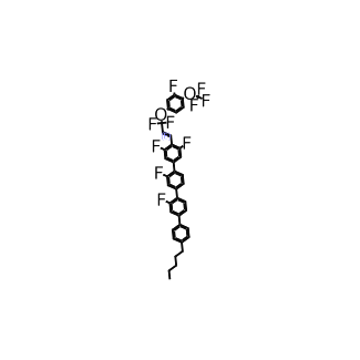 CCCCCc1ccc(-c2ccc(-c3ccc(-c4cc(F)c(/C=C/C(F)(F)Oc5ccc(OC(F)(F)F)c(F)c5)c(F)c4)c(F)c3)c(F)c2)cc1